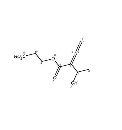 CC(O)C(=[N+]=[N-])C(=O)OCCC(=O)O